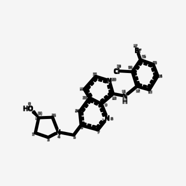 O[C@@H]1CCN(Cc2cnc3c(Nc4cccc(Br)c4Cl)nccc3c2)C1